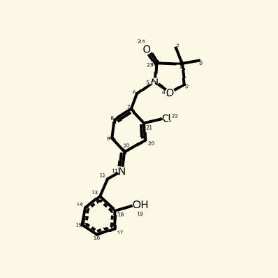 CC1(C)CON(CC2=CCC(=NCc3ccccc3O)C=C2Cl)C1=O